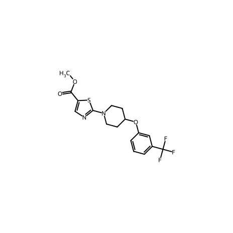 COC(=O)c1cnc(N2CCC(Oc3cccc(C(F)(F)F)c3)CC2)s1